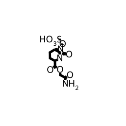 NC(=O)COC(=O)C1CCC2CN1C(=O)N2OS(=O)(=O)O